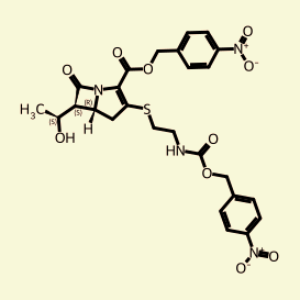 C[C@H](O)[C@H]1C(=O)N2C(C(=O)OCc3ccc([N+](=O)[O-])cc3)=C(SCCNC(=O)OCc3ccc([N+](=O)[O-])cc3)C[C@H]12